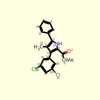 COC(=O)c1[nH]c(-c2ccccc2)c(C)c1-c1cc(Cl)cc(Cl)c1